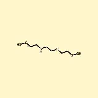 SSCCNCCOCCSS